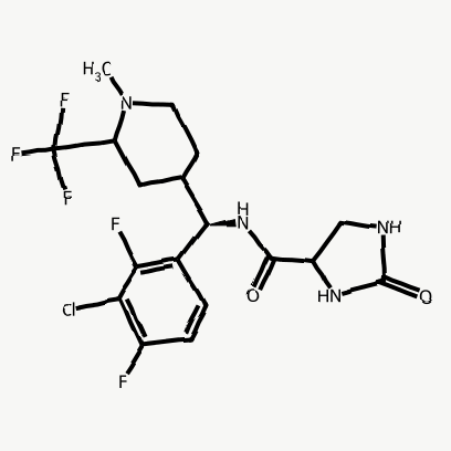 CN1CCC([C@@H](NC(=O)C2CNC(=O)N2)c2ccc(F)c(Cl)c2F)CC1C(F)(F)F